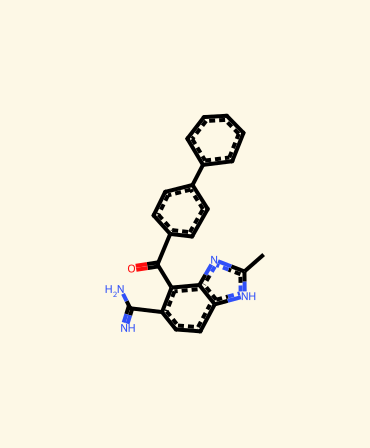 Cc1nc2c(C(=O)c3ccc(-c4ccccc4)cc3)c(C(=N)N)ccc2[nH]1